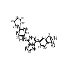 O=C1NCc2cc(-c3cnc(Nc4cnc(N5CCCCC5)nc4)c4ncnn34)ccc21